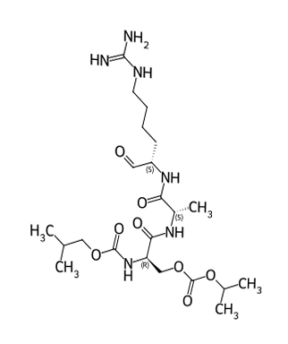 CC(C)COC(=O)N[C@H](COC(=O)OC(C)C)C(=O)N[C@@H](C)C(=O)N[C@H](C=O)CCCCNC(=N)N